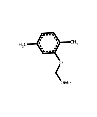 COCOc1cc(C)ccc1C